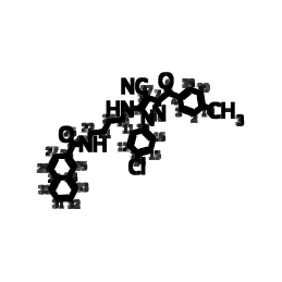 Cc1ccc(C(=O)c2nn(-c3ccc(Cl)cc3)c(NCCCCNC(=O)c3ccc4ccccc4c3)c2C#N)cc1